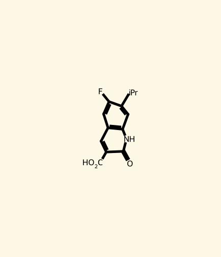 CC(C)c1cc2[nH]c(=O)c(C(=O)O)cc2cc1F